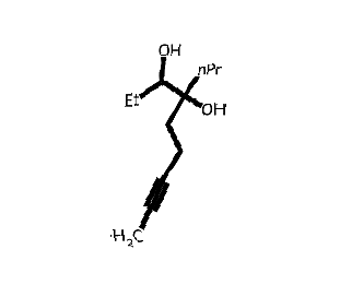 [CH2]C#CCCC(O)(CCC)C(O)CC